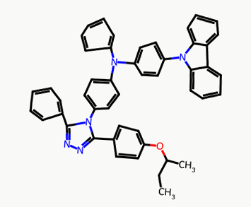 CCC(C)Oc1ccc(-c2nnc(-c3ccccc3)n2-c2ccc(N(c3ccccc3)c3ccc(-n4c5ccccc5c5ccccc54)cc3)cc2)cc1